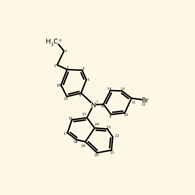 CCCc1ccc(N(c2ccc(Br)cc2)c2cccc3ccccc23)cc1